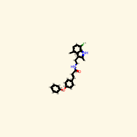 Cc1[nH]c2c(F)ccc(C)c2c1CCNC(=O)C=Cc1ccc(Oc2ccccc2)cc1